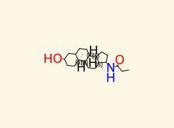 CCC(=O)NC1CC[C@H]2[C@@H]3CCC4CC(O)CC[C@]4(C)[C@@H]3CC[C@]12C